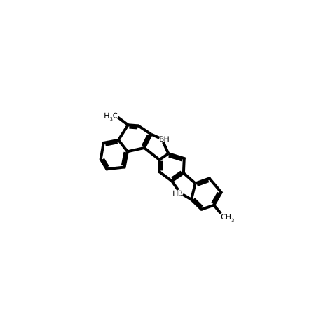 Cc1ccc2c(c1)Bc1cc3c(cc1-2)Bc1cc(C)c2ccccc2c1-3